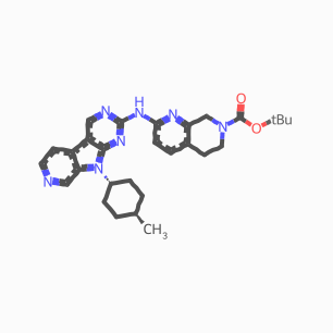 CC(C)(C)OC(=O)N1CCc2ccc(Nc3ncc4c5ccncc5n([C@H]5CC[C@H](C)CC5)c4n3)nc2C1